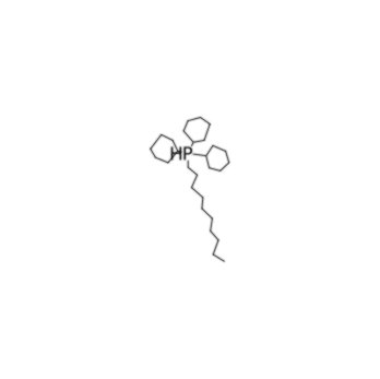 CCCCCCCCCC[PH](C1CCCCC1)(C1CCCCC1)C1CCCCC1